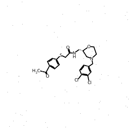 CC(=O)c1ccc(SCC(=O)NC[C@H]2CN(Cc3ccc(Cl)c(Cl)c3)CCO2)cc1